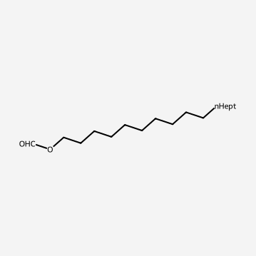 CCCCCCCCCCCCCCCCCOC=O